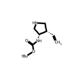 C=C[C@H]1CNC[C@H]1NC(=O)OC(C)(C)C